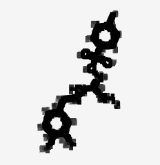 Cc1ccc(S(=O)(=O)ON=C(N)NN=Cc2ccc(F)c(F)c2)cc1